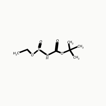 CCOS(=O)NC(=O)OC(C)(C)C